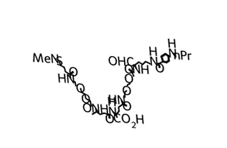 CCCNc1ccc(C(=O)NCCCCC(C=O)NC(=O)COCCOCCNC(=O)CCC(NC(=O)CCC(C)NC(=O)COCCOCCNC(=O)CCCSNC)C(=O)O)cc1